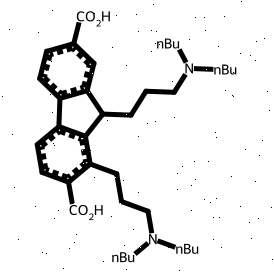 CCCCN(CCCC)CCCc1c(C(=O)O)ccc2c1C(CCCN(CCCC)CCCC)c1cc(C(=O)O)ccc1-2